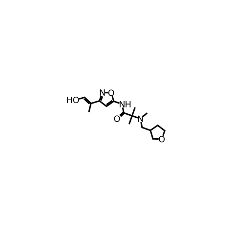 C/C(=C\O)c1cc(NC(=O)C(C)(C)N(C)CC2CCOC2)on1